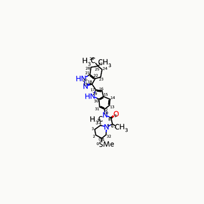 CS[C@H]1CCCN(C(C)C(=O)N(C)c2ccc3cc(-c4n[nH]c5c4CCC(C)(C)C5)[nH]c3c2)C1